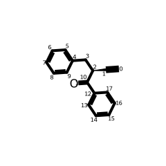 C#C[C@H](Cc1ccccc1)C(=O)c1ccccc1